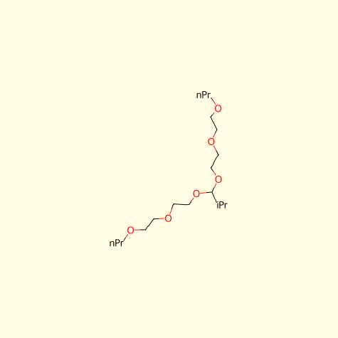 CCCOCCOCCOC(OCCOCCOCCC)C(C)C